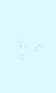 CCC1(OCC2CCC(O[C@H]3CCCC(OC)(C4CC5CCC4O5)C3)(C3CC4CCC3O4)C2)CC2CC1C1C3CCC(C3)C21